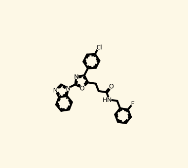 O=C(CCc1oc(-n2cnc3ccccc32)nc1-c1ccc(Cl)cc1)NCc1ccccc1F